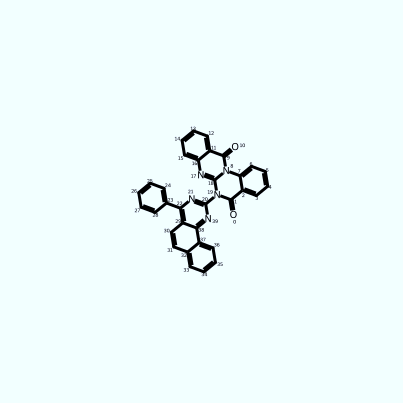 O=c1c2ccccc2n2c(=O)c3ccccc3nc2n1-c1nc(-c2ccccc2)c2ccc3ccccc3c2n1